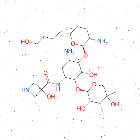 C[C@@H]1C(O)[C@@H](OC2C(O)C(O[C@H]3O[C@H](CCCCO)CCC3N)[C@@H](N)C[C@H]2NC(=O)C2(O)CNC2)OCC1(C)O